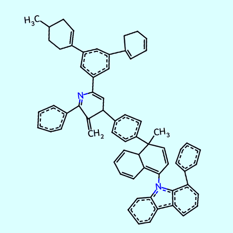 C=C1C(c2ccccc2)=NC(c2cc(C3=CC=CCC3)cc(C3=CCC(C)CC3)c2)=CC1c1ccc(C2(C)C=CC(n3c4ccccc4c4cccc(-c5ccccc5)c43)=C3C=CC=CC32)cc1